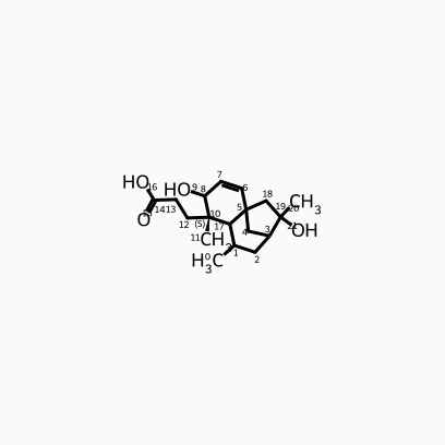 CC1CC2CC3(C=CC(O)[C@@](C)(CCC(=O)O)C13)CC2(C)O